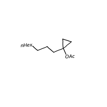 CCCCCCCCCC1(OC(C)=O)CC1